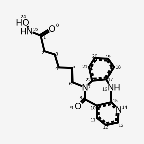 O=C(CCCCCN1C(=O)c2cccnc2Nc2ccccc21)NO